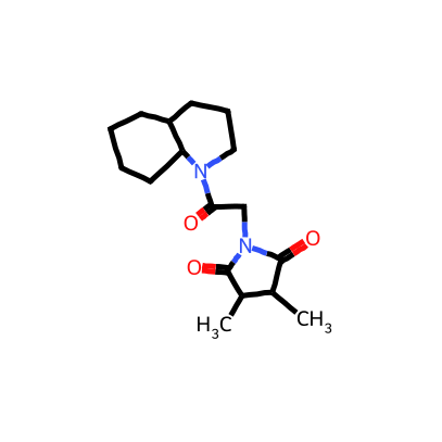 CC1C(=O)N(CC(=O)N2CCCC3CCCCC32)C(=O)C1C